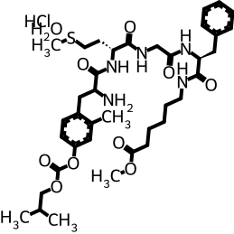 COC(=O)CCCCCNC(=O)[C@H](Cc1ccccc1)NC(=O)CNC(=O)[C@@H](CCSC)NC(=O)C(N)Cc1ccc(OC(=O)OCC(C)C)cc1C.Cl.O